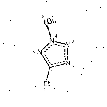 CCc1nnn(C(C)(C)C)n1